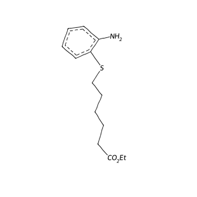 CCOC(=O)CCCCCSc1ccccc1N